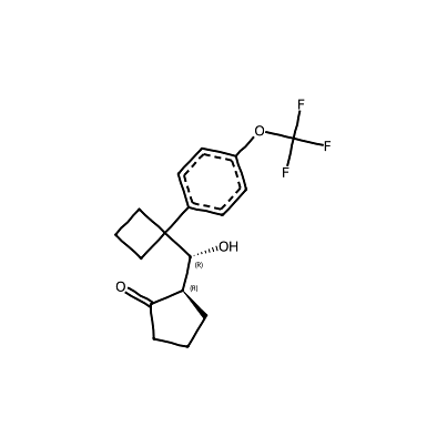 O=C1CCC[C@@H]1[C@@H](O)C1(c2ccc(OC(F)(F)F)cc2)CCC1